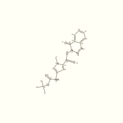 Cn1cc(NC(=O)OC(C)(C)C)cc1C(=O)On1nnc2ccccc2c1=O